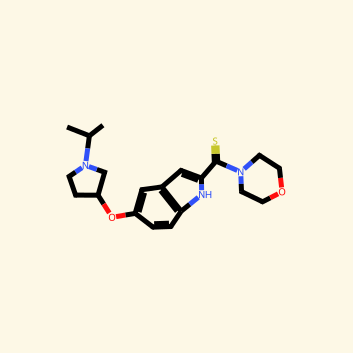 CC(C)N1CCC(Oc2ccc3[nH]c(C(=S)N4CCOCC4)cc3c2)C1